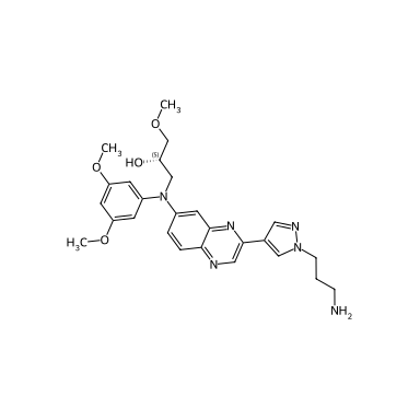 COC[C@@H](O)CN(c1cc(OC)cc(OC)c1)c1ccc2ncc(-c3cnn(CCCN)c3)nc2c1